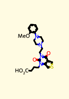 COc1ccccc1N1CCN(CCn2c(=O)c3cscc3n(CCCC(=O)O)c2=O)CC1